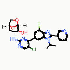 CC(C)n1c(-c2cccnc2)nc2c(F)cc(-c3nc(N[C@@H]4C[C@H]5CO[C@H](O5)[C@H]4O)ncc3Cl)cc21